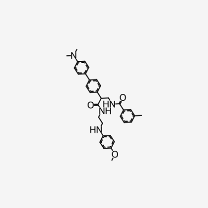 COc1ccc(NCCNC(=O)C(CNC(=O)c2cccc(C)c2)c2ccc(-c3ccc(N(C)C)cc3)cc2)cc1